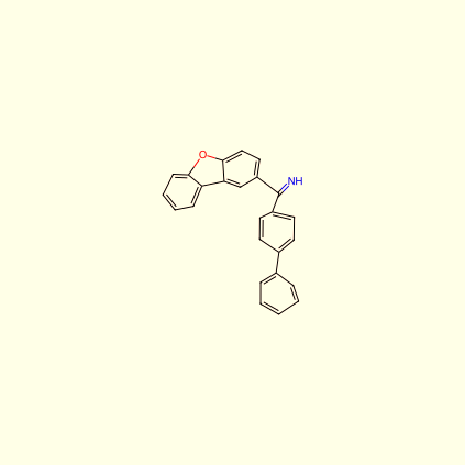 N=C(c1ccc(-c2ccccc2)cc1)c1ccc2oc3ccccc3c2c1